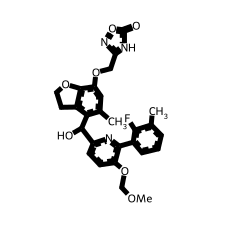 COCOc1ccc(C(O)c2c(C)cc(OCc3noc(=O)[nH]3)c3c2CCO3)nc1-c1cccc(C)c1F